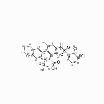 Cc1cc(NS(=O)(=O)c2cccc(Cl)c2Cl)c(C)c(C(OC(C)(C)C)C(=O)O)c1-c1ccc2c(c1)CCCO2